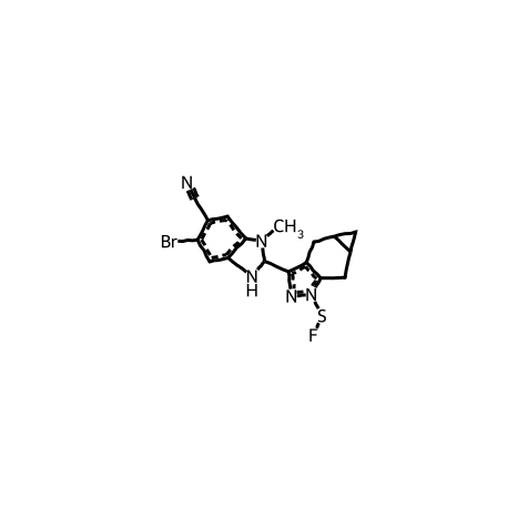 CN1c2cc(C#N)c(Br)cc2NC1c1nn(SF)c2c1CC1CC1C2